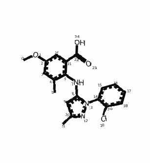 COc1cc(C)c(Nc2cc(C)nn2-c2ccccc2Cl)c(C(=O)O)c1